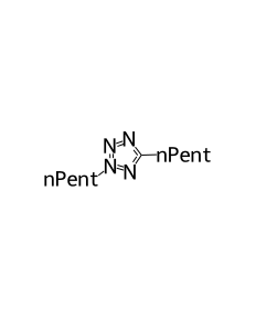 CCCCCc1nnn(CCCCC)n1